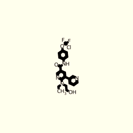 CCN(CCO)c1ncc(C(=O)Nc2ccc(OC(F)(F)Cl)cc2)cc1-c1cccnc1